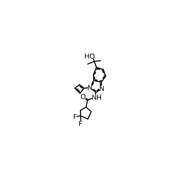 CC(C)(O)c1ccc2nc(NC(=O)C3CCC(F)(F)C3)n(C3=CC=C3)c2c1